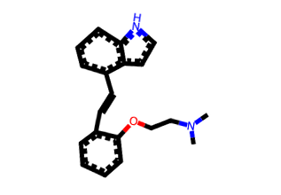 CN(C)CCOc1ccccc1C=Cc1cccc2[nH]ccc12